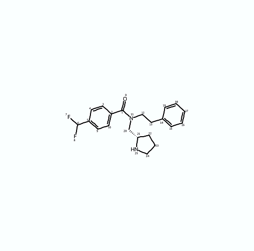 O=C(c1ccc(C(F)F)cc1)N(CCc1ccccc1)C[C@@H]1CCCN1